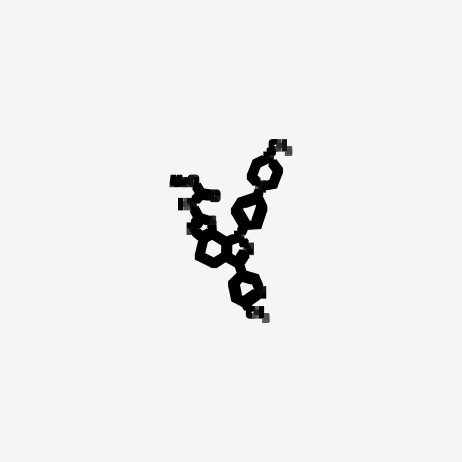 COC(=O)Nc1nc2c(s1)-c1c(c(-c3ccc(C)nc3)nn1-c1ccc(N3CCN(C)CC3)cc1)CC2